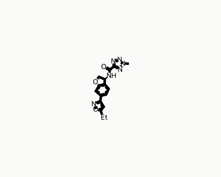 CCc1cc(-c2ccc3c(c2)OC[C@H]3NC(=O)c2nnn(C)n2)no1